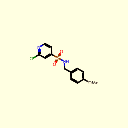 COc1ccc(CNS(=O)(=O)c2ccnc(Cl)c2)cc1